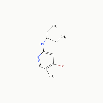 CCC(CC)Nc1cc(Br)c(C)cn1